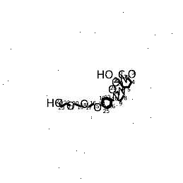 O=C(O)N1C(=O)CCC(N2CCN(c3ccc(OCCOCCOCCO)cc3)C2=O)C1=O